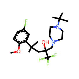 COc1ccc(F)cc1C(C)(C)CC(O)(CN1CCN(C(C)(C)C)CC1)C(F)(F)F